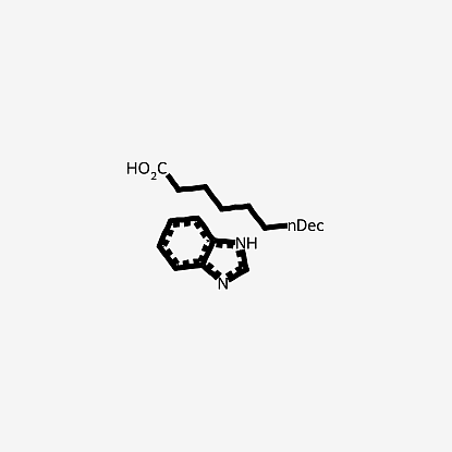 CCCCCCCCCCCCCCCC(=O)O.c1ccc2[nH]cnc2c1